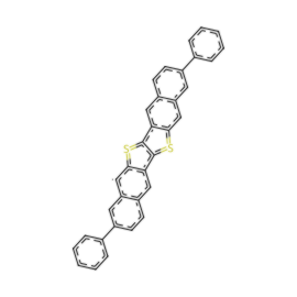 [c]1c2cc(-c3ccccc3)ccc2cc2c1sc1c3cc4ccc(-c5ccccc5)cc4cc3sc21